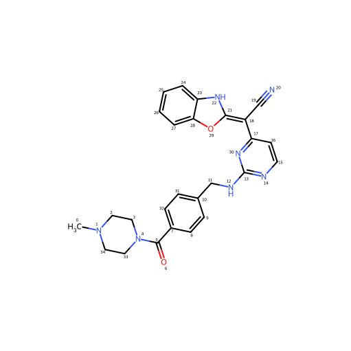 CN1CCN(C(=O)c2ccc(CNc3nccc(C(C#N)=C4Nc5ccccc5O4)n3)cc2)CC1